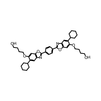 OCCCCOc1cc2oc(-c3ccc(-c4nc5cc(C6CCCCC6)c(OCCCCO)cc5o4)cc3)nc2cc1C1CCCCC1